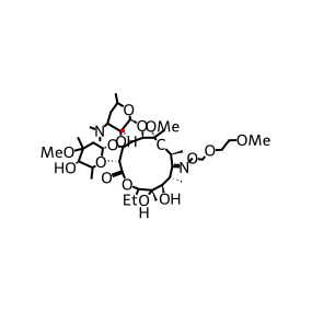 CCC1OC(=O)[C@H](C)[C@@H](O[C@H]2CC(C)(OC)[C@@H](O)C(C)O2)[C@H](C)[C@@H](O[C@@H]2OC(C)CC(N(C)C)C2O)[C@](C)(OC)C[C@@H](C)/C(=N\OCOCCOC)[C@H](C)[C@@H](O)[C@]1(C)O